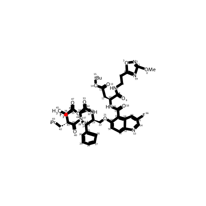 COc1noc(CCNC(=O)[C@H](CC(=O)OC(C)(C)C)NC(=O)c2c(OC[C@@H](Cc3ccccc3)NC(=O)[C@@H](CC(F)(F)F)N(C)C(=O)[C@H](CC(C)C)N(C)C(=O)OC(C)(C)C)ccc3ncc(F)cc23)n1